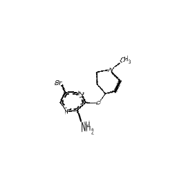 CN1CCC(Oc2nc(Br)cnc2N)CC1